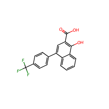 O=C(O)c1cc(-c2ccc(C(F)(F)F)cc2)c2ccccc2c1O